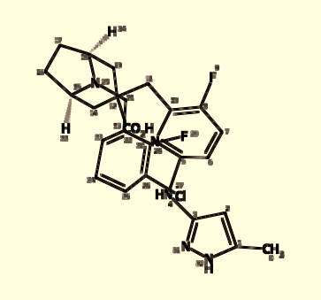 Cc1cc(Nc2ccc(F)c(CC3(C(=O)O)C[C@H]4CC[C@@H](C3)N4Cc3cccc(Cl)c3F)n2)n[nH]1